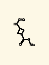 CCCCOC(=O)N1CC(NC=O)C1